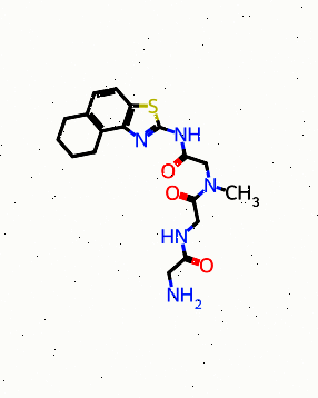 CN(CC(=O)Nc1nc2c3c(ccc2s1)CCCC3)C(=O)CNC(=O)CN